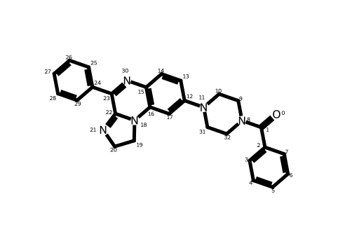 O=C(c1ccccc1)N1CCN(c2ccc3c(c2)N2CCN=C2C(c2ccccc2)=N3)CC1